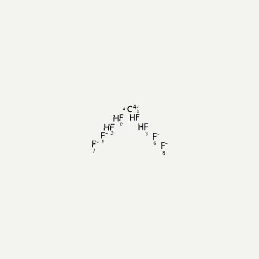 F.F.F.F.[C+4].[F-].[F-].[F-].[F-]